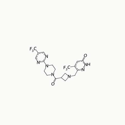 O=C(C1CN(Cc2n[nH]c(=O)cc2C(F)(F)F)C1)N1CCN(c2ncc(C(F)(F)F)cn2)CC1